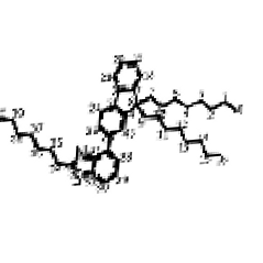 CCCCCCCCC1(CCCCCCCC)c2ccccc2-c2ccc(-c3cccc4sc(CCCCCCC)nc34)cc21